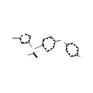 CC(C)(C)c1cc(N(C(N)=O)c2ccc(Oc3ccc(O)cc3)cc2)cs1